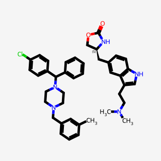 CN(C)CCc1c[nH]c2ccc(C[C@H]3COC(=O)N3)cc12.Cc1cccc(CN2CCN(C(c3ccccc3)c3ccc(Cl)cc3)CC2)c1